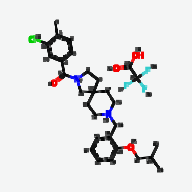 Cc1ccc(C(=O)N2CCC3(CCN(Cc4ccccc4OCC(C)C)CC3)C2)cc1Cl.O=C(O)C(F)(F)F